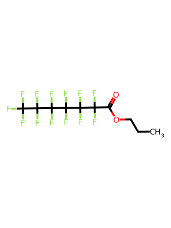 CCCOC(=O)C(F)(F)C(F)(F)C(F)(F)C(F)(F)C(F)(F)C(F)(F)F